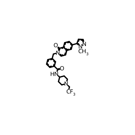 Cn1nccc1-c1ccc2c(=O)n(Cc3cccc(C(=O)NC4CCN(CC(F)(F)F)CC4)c3)ccc2c1